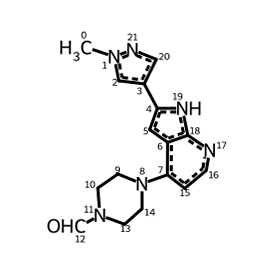 Cn1cc(-c2cc3c(N4CCN(C=O)CC4)ccnc3[nH]2)cn1